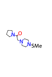 CSN1CCN(CC(=O)N2CCCC2)CC1